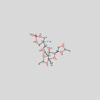 CC1OCC([C@H]2O[C@@H]3OC(C)O[C@@H]3[C@H]2OC(=O)C2(F)COC(=O)OC2)O1